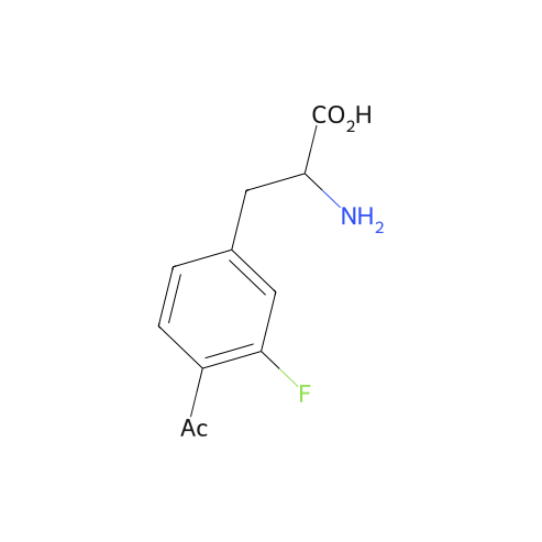 CC(=O)c1ccc(CC(N)C(=O)O)cc1F